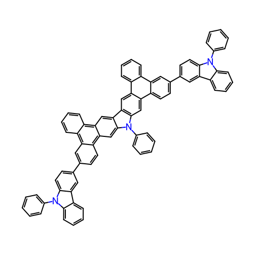 c1ccc(-n2c3ccccc3c3cc(-c4ccc5c(c4)c4ccccc4c4cc6c7cc8c9ccccc9c9cc(-c%10ccc%11c(c%10)c%10ccccc%10n%11-c%10ccccc%10)ccc9c8cc7n(-c7ccccc7)c6cc54)ccc32)cc1